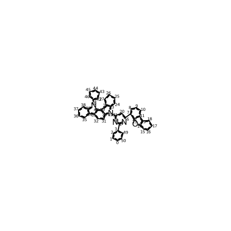 c1ccc(-c2nc(-c3cccc4c3oc3ccccc34)cc(-n3c4ccccc4c4c3ccc3c5ccccc5n(-c5ccccc5)c34)n2)cc1